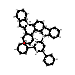 c1ccc(-c2cc(-n3c4ccccc4c4ccc5c(c6ccccc6c6cc7ccccc7n65)c43)nc(-c3ccccc3)n2)cc1